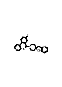 O=C(c1cc(F)ccc1-c1ccncc1)N1CCC(O)(Cc2ccccn2)CC1